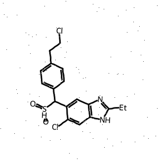 CCc1nc2cc(C(c3ccc(CCCl)cc3)[SH](=O)=O)c(Cl)cc2[nH]1